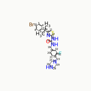 CC(C)(c1ccc(Br)cc1)c1csc(NC(=O)NCc2ccc(CN3CCNCC3)c(F)c2)n1